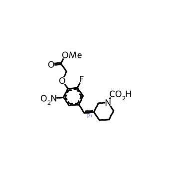 COC(=O)COc1c(F)cc(/C=C2/CCCN(C(=O)O)C2)cc1[N+](=O)[O-]